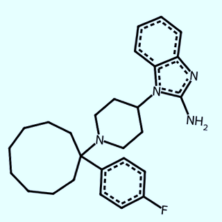 Nc1nc2ccccc2n1C1CCN(C2(c3ccc(F)cc3)CCCCCCCC2)CC1